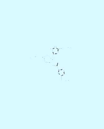 CCCCCCc1coc(C(=O)OC2CN(CCCCC)C[N+]2([O-])c2nnc(CCCCCC)s2)c1